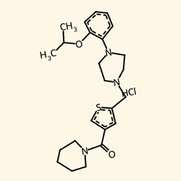 CC(C)Oc1ccccc1N1CCN(Cc2cc(C(=O)N3CCCCC3)cs2)CC1.Cl